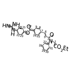 CCOC(=O)CN(C(=O)C=Cc1ccc(C(=O)Oc2ccc(NC(=N)N)cc2)cc1)c1ccccc1